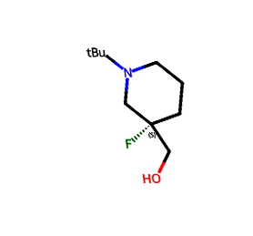 CC(C)(C)N1CCC[C@@](F)(CO)C1